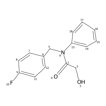 O=C(CO)N(Cc1ccc(F)cc1)c1ccccc1